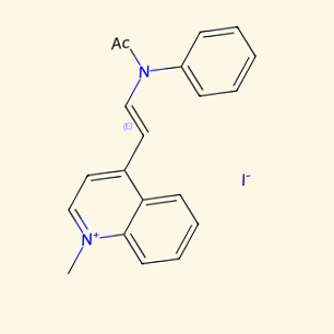 CC(=O)N(/C=C/c1cc[n+](C)c2ccccc12)c1ccccc1.[I-]